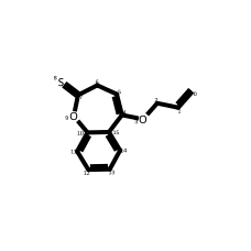 C=CCOC1=CCC(=S)Oc2ccccc21